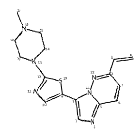 C=Cc1ccc2ncc(-c3cnc(N4CCN(C)CC4)s3)n2n1